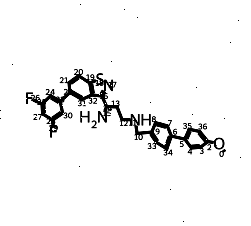 COc1ccc(-c2ccc(CNCCC(N)c3nsc4ccc(-c5cc(F)cc(F)c5)cc34)cc2)cc1